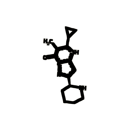 Cc1c(C2CC2)[nH]c2cc([C@@H]3CCCCN3)nn2c1=O